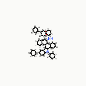 c1ccc(Nc2c(-c3cccc(-c4ccccc4)c3)c3ccccc3c3c2c2ccccc2c2c3c3cc(-c4ccccc4)ccc3n2-c2ccccc2)cc1